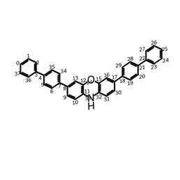 c1ccc(-c2ccc(-c3ccc4c(c3)Oc3cc(-c5ccc(-c6ccccc6)cc5)ccc3N4)cc2)cc1